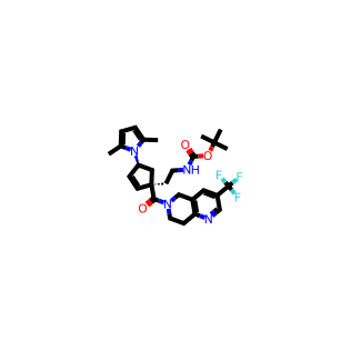 Cc1ccc(C)n1[C@@H]1C=C[C@](CCNC(=O)OC(C)(C)C)(C(=O)N2CCc3ncc(C(F)(F)F)cc3C2)C1